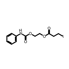 O=C(CCI)OCCOC(=O)Nc1ccccc1